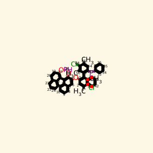 Cc1cc(Oc2cc3ccccc3c3c2o[pH]oc2ccc4ccccc4c23)c(-c2c(P(c3ccccc3)c3ccccc3)cc(C)c(Cl)c2C)c(C)c1Cl